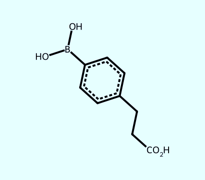 O=C(O)CCc1ccc(B(O)O)cc1